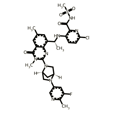 Cc1cc([C@@H](C)Nc2ccc(Cl)nc2C(=O)NS(C)(=O)=O)c2nc(N3C[C@@H]4C[C@H]3CN4c3cnc(C)c(F)c3)n(C)c(=O)c2c1